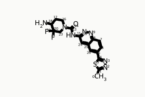 Cc1nnc(-c2ccc3nnc(NC(=O)N4CCC(N)C(F)(F)C4)cc3c2)s1